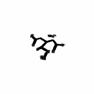 O=C([O-])CC(CC(=O)[O-])C(=O)OO.[Mg+2]